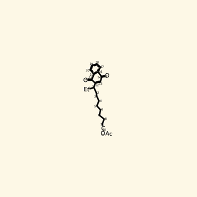 CCC(CCCCCCCCCOC(C)=O)C1=CC(=O)c2ccccc2C1=O